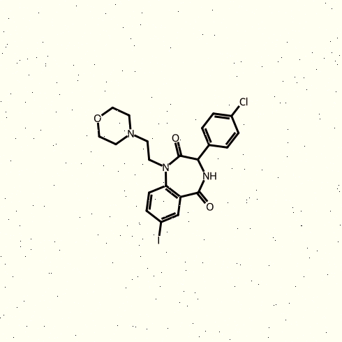 O=C1NC(c2ccc(Cl)cc2)C(=O)N(CCN2CCOCC2)c2ccc(I)cc21